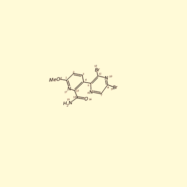 COc1ccc(-c2ncc(Br)nc2Br)c(C(N)=O)n1